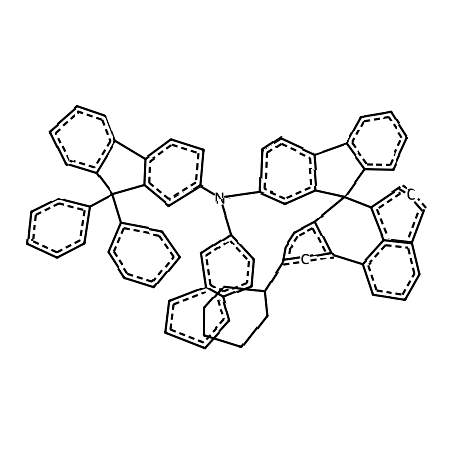 c1ccc(C2(c3ccccc3)c3ccccc3-c3ccc(N(c4ccc5c(c4)C4(c6ccccc6-5)c5ccc(C6CCCCC6)cc5-c5cccc6cccc4c56)c4ccc5ccccc5c4)cc32)cc1